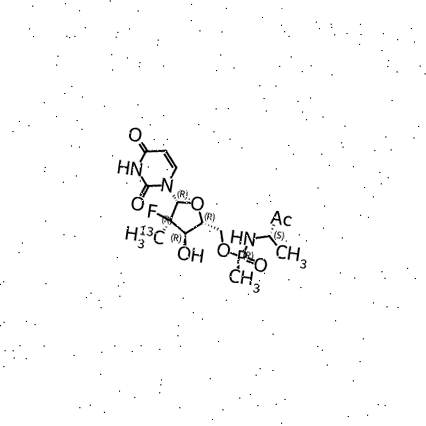 CC(=O)[C@H](C)N[P@](C)(=O)OC[C@H]1O[C@@H](n2ccc(=O)[nH]c2=O)[C@]([13CH3])(F)[C@@H]1O